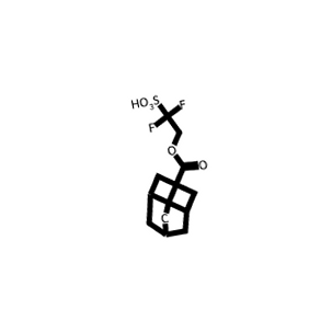 O=C(OCC(F)(F)S(=O)(=O)O)C12CC3CC4CC(C1)C32C4